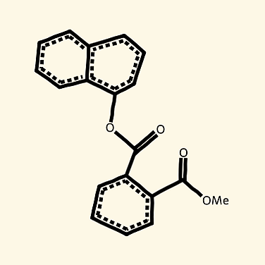 COC(=O)c1ccccc1C(=O)Oc1cccc2ccccc12